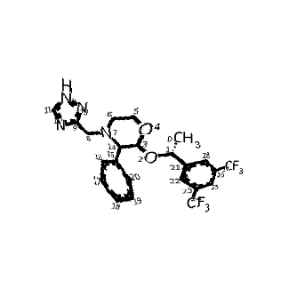 C[C@@H](OC1OCCN(Cc2nc[nH]n2)C1c1ccccc1)c1cc(C(F)(F)F)cc(C(F)(F)F)c1